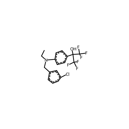 CCN(Cc1cccc(Cl)c1)c1ccc(C(O)(C(F)(F)F)C(F)(F)F)cc1